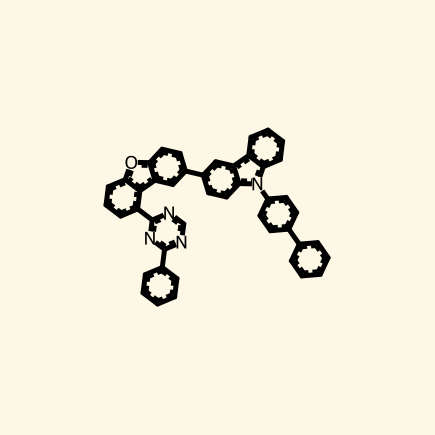 c1ccc(-c2ccc(-n3c4ccccc4c4cc(-c5ccc6oc7cccc(-c8ncnc(-c9ccccc9)n8)c7c6c5)ccc43)cc2)cc1